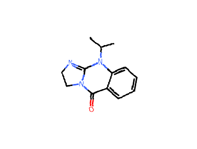 CC(C)N1C2=NCCN2C(=O)c2ccccc21